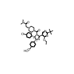 CCOc1nc(C(C)(C)C)ncc1C1=N[C@@H](c2ccc(Cl)cc2)[C@@H](c2ccc(Cl)cc2)N1C(=O)N1CCN(CC(=O)N(C)C)CC1.Cl